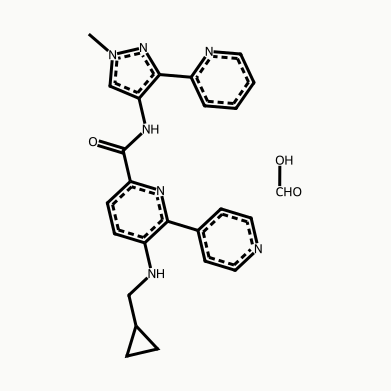 Cn1cc(NC(=O)c2ccc(NCC3CC3)c(-c3ccncc3)n2)c(-c2ccccn2)n1.O=CO